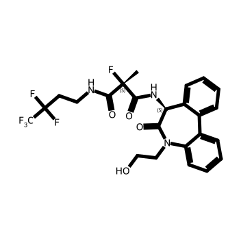 C[C@](F)(C(=O)NCCC(F)(F)C(F)(F)F)C(=O)N[C@@H]1C(=O)N(CCO)c2ccccc2-c2ccccc21